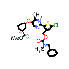 COC(=O)[C@H]1CCC[C@H](Oc2cnc(-c3sc(Cl)cc3COC(=O)N(C)Cc3ccccc3)nc2C)C1